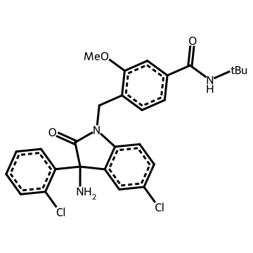 COc1cc(C(=O)NC(C)(C)C)ccc1CN1C(=O)C(N)(c2ccccc2Cl)c2cc(Cl)ccc21